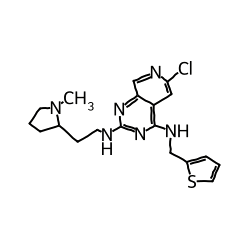 CN1CCCC1CCNc1nc(NCc2cccs2)c2cc(Cl)ncc2n1